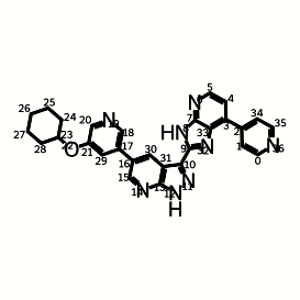 c1cc(-c2ccnc3[nH]c(-c4n[nH]c5ncc(-c6cncc(OC7CCCCC7)c6)cc45)nc23)ccn1